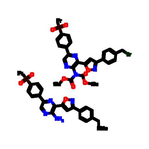 CC(C)S(=O)(=O)c1ccc(-c2cnc(N(C(=O)OC(C)(C)C)C(=O)OC(C)(C)C)c(-c3cc(-c4ccc(CBr)cc4)no3)n2)cc1.CNCc1ccc(-c2cc(-c3nc(-c4ccc(S(=O)(=O)C(C)C)cc4)cnc3N)on2)cc1